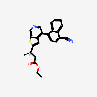 CCOC(=O)C[C@@H](C)c1cc2c(-c3ccc(C#N)c4ccccc34)cncc2s1